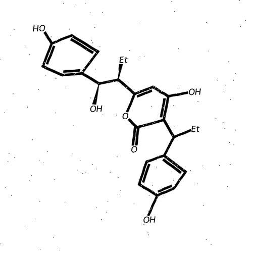 CCC(c1ccc(O)cc1)c1c(O)cc([C@H](CC)[C@@H](O)c2ccc(O)cc2)oc1=O